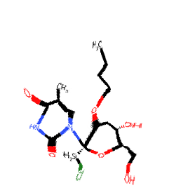 CCCCOC1[C@H](O)[C@@H](CO)O[C@@]1([SiH2]Cl)n1cc(C)c(=O)[nH]c1=O